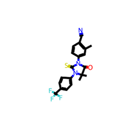 Cc1cc(N2C(=O)C(C)(C)N(c3ccc(C(F)(F)F)cc3)C2=S)ccc1C#N